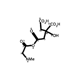 CNCC(=O)OC(=O)CC(O)(CC(=O)O)C(=O)O